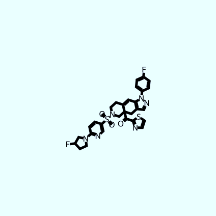 O=C(c1nccs1)C12Cc3cnn(-c4ccc(F)cc4)c3C=C1CCN(S(=O)(=O)c1ccc(N3CCC(F)C3)nc1)C2